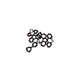 c1ccc(-c2ccc(N(c3cccc4c3-c3ccccc3C43c4ccccc4Oc4ccccc43)c3cccc4c3-c3c(ccc5ccccc35)C43c4ccccc4Sc4ccccc43)cc2)cc1